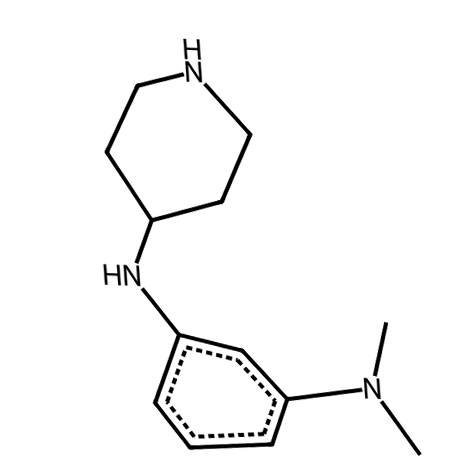 CN(C)c1cccc(NC2CCNCC2)c1